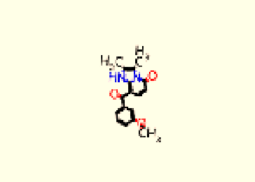 COc1cccc(C(=O)c2ccc(=O)n3c(C)c(C)[nH]c23)c1